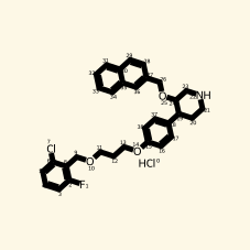 Cl.Fc1cccc(Cl)c1COCCCOc1ccc(C2CCNCC2OCc2ccc3ccccc3c2)cc1